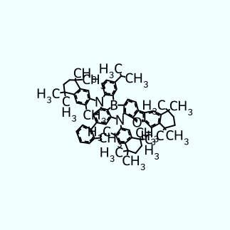 Cc1ccccc1-c1cc2c3c(c1)N(c1cc4c(cc1C)C(C)(C)CCC4(C)C)c1c(ccc4c1oc1cc5c(cc14)C(C)(C)CCC5(C)C)B3c1cc(C(C)C)ccc1N2c1cc2c(cc1C)C(C)(C)CCC2(C)C